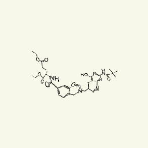 CCOC(=O)CC[C@H](NC(=O)c1ccc(CN(C=O)Cc2cnc3nc(NC(=O)C(C)(C)C)nc(O)c3c2)cc1)C(=O)OCC